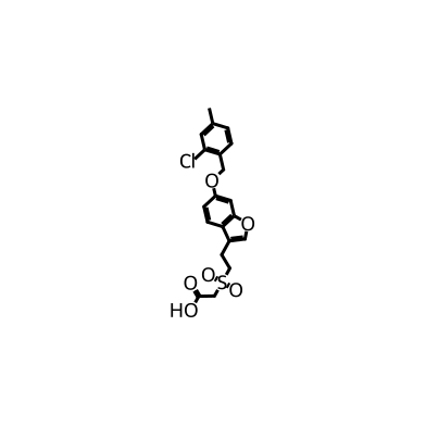 Cc1ccc(COc2ccc3c(CCS(=O)(=O)CC(=O)O)coc3c2)c(Cl)c1